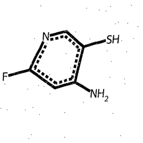 Nc1cc(F)ncc1S